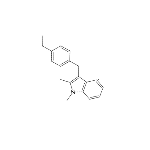 CCc1ccc(Cc2c(C)n(C)c3ccc[c]c23)cc1